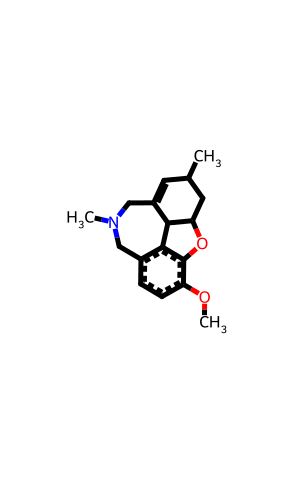 COc1ccc2c3c1OC1CC(C)C=C(CN(C)C2)C31